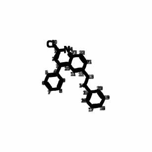 Clc1cc(-c2ccccc2)c2cc(CCc3ccccc3)ccc2n1